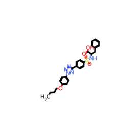 CCCCOc1ccc(-n2nnc(-c3ccc(S(=O)(=O)NC(Cc4ccccc4)C(=O)O)cc3)n2)cc1